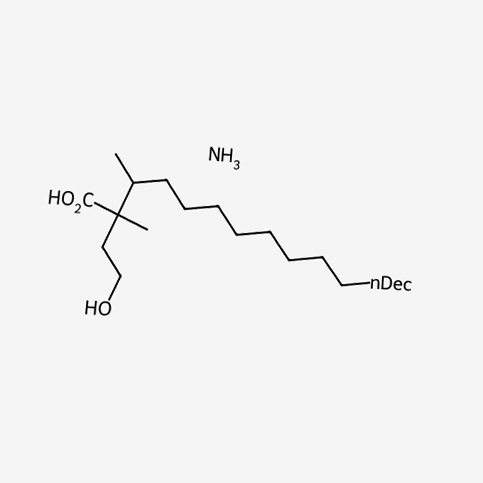 CCCCCCCCCCCCCCCCCCC(C)C(C)(CCO)C(=O)O.N